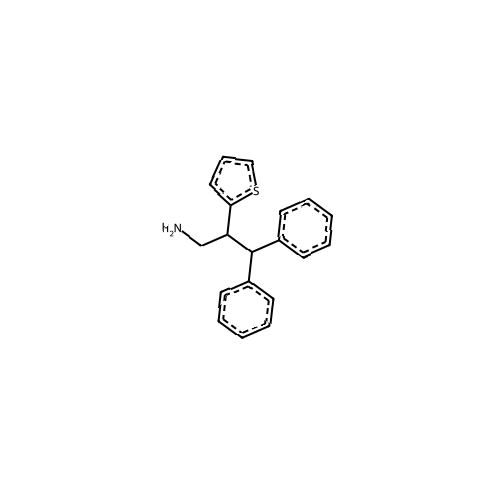 NCC(c1cccs1)C(c1ccccc1)c1ccccc1